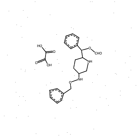 O=C(O)C(=O)O.O=COC(c1ccccc1)C1CCC(NOCc2ccccc2)CN1